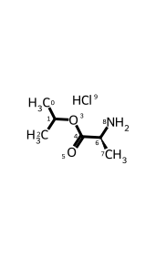 CC(C)OC(=O)[C@H](C)N.Cl